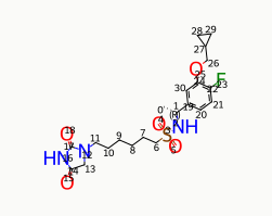 C[C@@H](NS(=O)(=O)CCCCCCN1CC(=O)NC1=O)c1ccc(F)c(OCC2CC2)c1